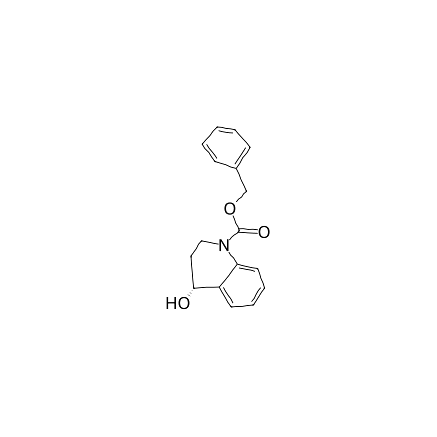 O=C(OCc1ccccc1)N1CC[C@@H](O)c2ccccc21